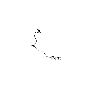 C=C(CCCC(C)CCC)CCC(C)CC